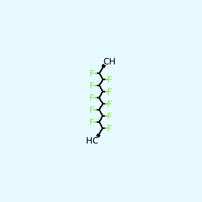 C#CC(F)C(F)C(F)C(F)C(F)C(F)C(F)C(F)C(F)C(F)C#C